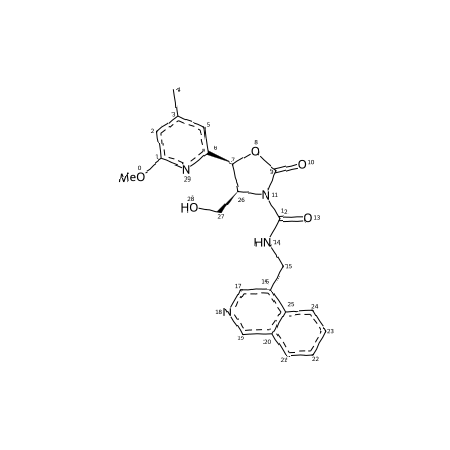 COc1cc(C)cc([C@H]2OC(=O)N(C(=O)NCc3cncc4ccccc34)[C@H]2CO)n1